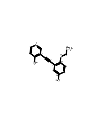 CCCc1ccncc1C#Cc1cc(Cl)ccc1OCC(=O)O